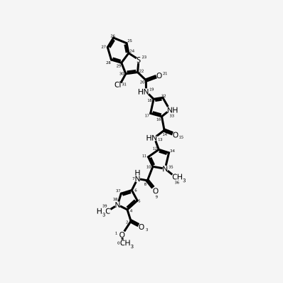 COC(=O)c1cc(NC(=O)c2cc(NC(=O)c3cc(NC(=O)c4sc5ccccc5c4Cl)c[nH]3)cn2C)cn1C